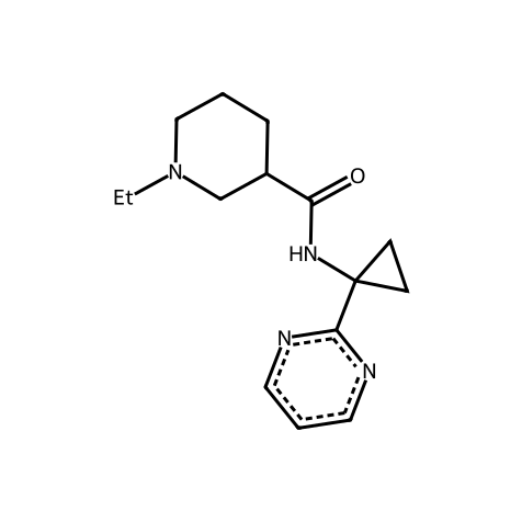 CCN1CCCC(C(=O)NC2(c3ncccn3)CC2)C1